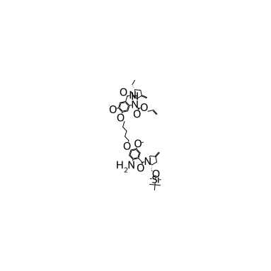 C=CCOC(=O)Nc1cc(OCCCCCOc2cc(N)c(C(=O)N3CC(=C)C[C@@H]3CO[Si](C)(C)C(C)(C)C)cc2OC)c(OC)cc1C(=O)N1CC(=C)C[C@H]1CC